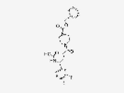 O=C(O)NC(CCC(=O)N1CCN(C(=O)OCc2ccccc2)CC1)c1ccc(F)c(F)c1